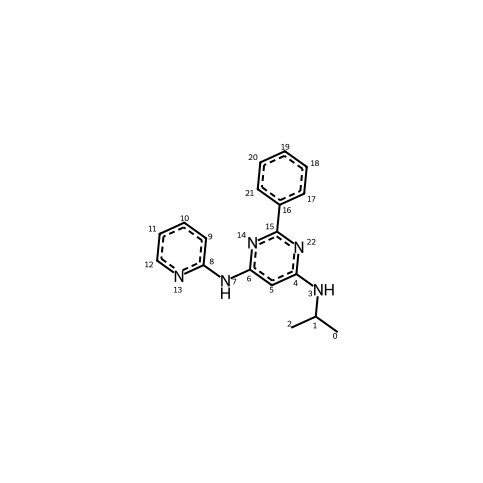 CC(C)Nc1cc(Nc2ccccn2)nc(-c2ccccc2)n1